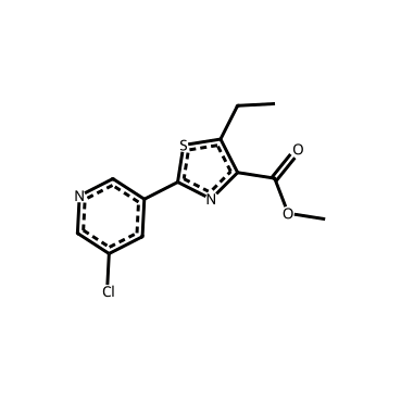 CCc1sc(-c2cncc(Cl)c2)nc1C(=O)OC